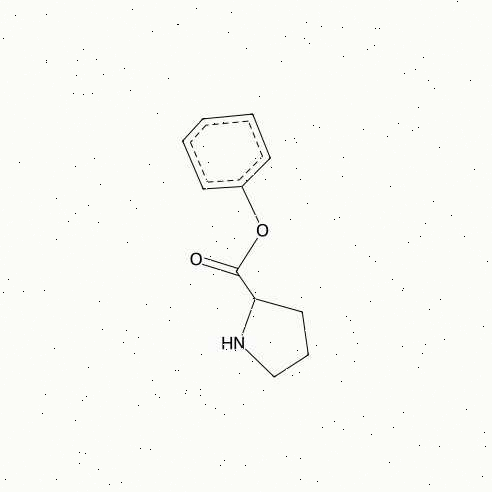 O=C(Oc1ccccc1)C1CCCN1